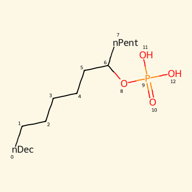 CCCCCCCCCCCCCCCC(CCCCC)OP(=O)(O)O